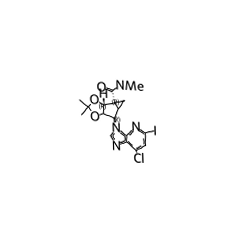 CNC(=O)[C@]12CC1[C@@H](n1cnc3c(Cl)cc(I)nc31)C1OC(C)(C)O[C@@H]12